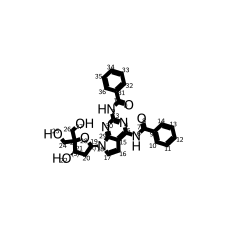 O=C(Nc1nc(NC(=O)c2ccccc2)c2ccn([C@H]3C[C@H](O)C(CO)(CO)O3)c2n1)c1ccccc1